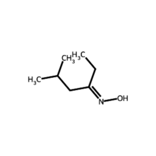 CC/C(CC(C)C)=N\O